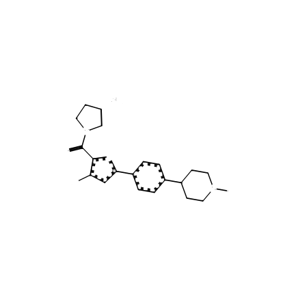 CCN1CCC(c2ccc(-c3cc(C)c(C(=O)N4CC[C@H](N)C4)s3)cc2)CC1